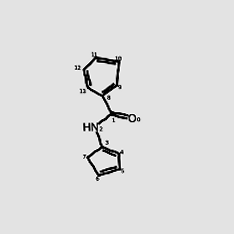 O=C(NC1=CC=CC1)c1ccccc1